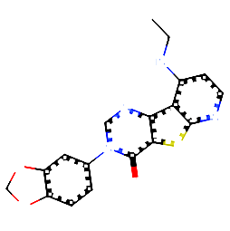 CCNc1ccnc2sc3c(=O)n(-c4ccc5c(c4)OCO5)cnc3c12